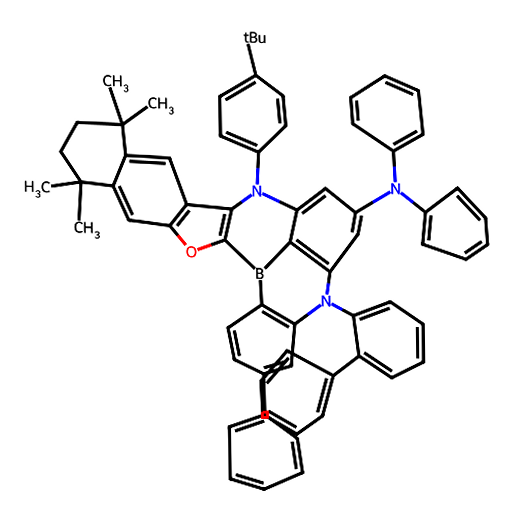 CC(C)(C)c1ccc(N2c3cc(N(c4ccccc4)c4ccccc4)cc4c3B(c3ccc(-c5ccccc5)cc3N4c3ccccc3-c3ccccc3)c3oc4cc5c(cc4c32)C(C)(C)CCC5(C)C)cc1